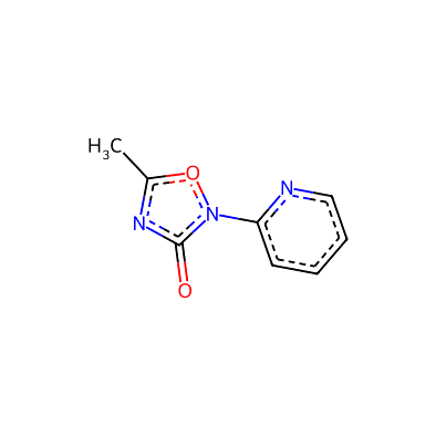 Cc1nc(=O)n(-c2ccccn2)o1